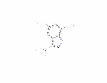 COc1cc(OC)c2[nH]cc(C(C)OC=O)c2c1